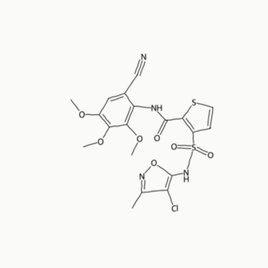 COc1cc(C#N)c(NC(=O)c2sccc2S(=O)(=O)Nc2onc(C)c2Cl)c(OC)c1OC